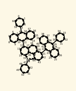 c1ccc(-c2c3ccccc3c(-c3ccc4c5c3ccc3c(-c6c7ccccc7c(-c7ccccc7)c7ccccc67)ccc(c35)n4-c3ccccc3)c3ccccc23)cc1